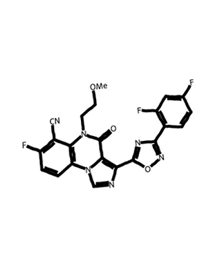 COCCn1c(=O)c2c(-c3nc(-c4ccc(F)cc4F)no3)ncn2c2ccc(F)c(C#N)c21